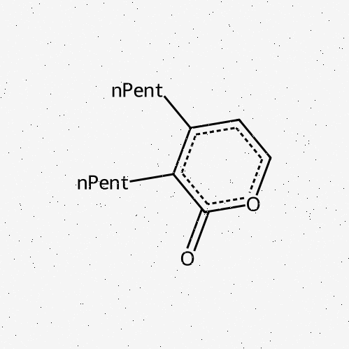 CCCCCc1ccoc(=O)c1CCCCC